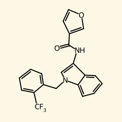 O=C(Nc1cn(Cc2ccccc2C(F)(F)F)c2ccccc12)c1ccoc1